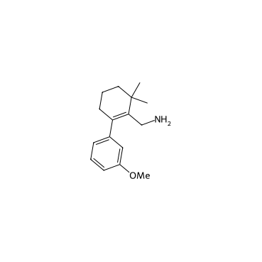 COc1cccc(C2=C(CN)C(C)(C)CCC2)c1